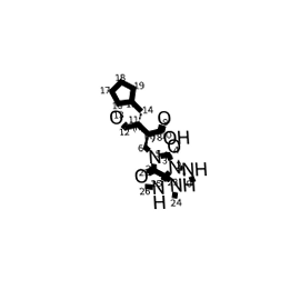 CNN1C(=O)N(C[C@H](C(=O)O)[C@H](C=O)CC2CCCC2)C(=O)C1(NC)NC